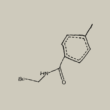 CCC(C)CNC(=O)c1ccc(C)cc1